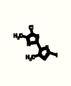 Cc1cc(I)sc1-c1nc(C)c(Cl)s1